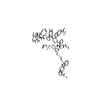 COc1cc(C(=O)N(C)c2ccc(C)cc2OCCCCCC(=O)N2CCN(C)CC2)ccc1NC(=O)c1cccc2[nH]c(S)nc12